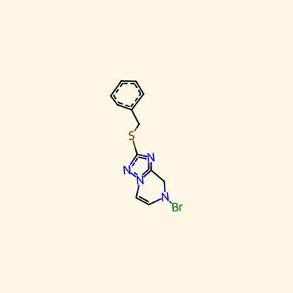 BrN1C=Cn2nc(SCc3ccccc3)nc2C1